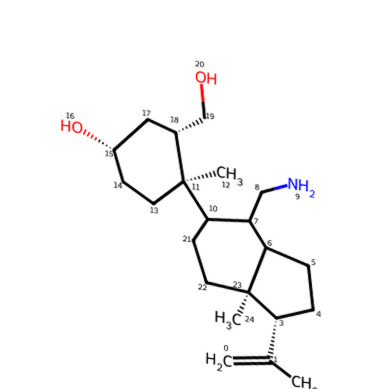 C=C(C)[C@H]1CCC2C(CN)C([C@@]3(C)CC[C@H](O)C[C@@H]3CO)CC[C@@]21C